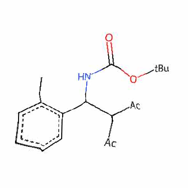 CC(=O)C(C(C)=O)C(NC(=O)OC(C)(C)C)c1ccccc1C